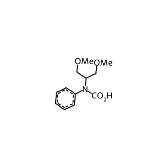 COCC(COC)N(C(=O)O)c1ccccc1